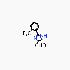 O=Cc1c[nH]c(-c2ccccc2C(F)(F)F)n1